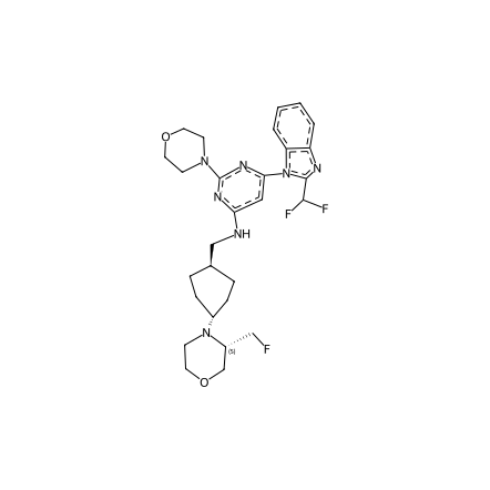 FC[C@@H]1COCCN1[C@H]1CC[C@H](CNc2cc(-n3c(C(F)F)nc4ccccc43)nc(N3CCOCC3)n2)CC1